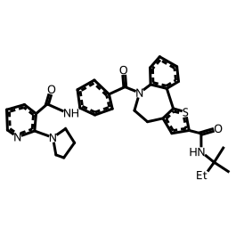 CCC(C)(C)NC(=O)c1cc2c(s1)-c1ccccc1N(C(=O)c1ccc(NC(=O)c3cccnc3N3CCCC3)cc1)CC2